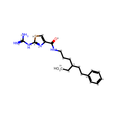 N=C(N)Nc1nc(C(=O)NCCCC(CCc2ccccc2)CC(=O)O)cs1